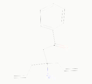 C=CCC(N)(CC=C)CC(=O)c1ccccc1